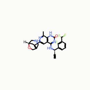 C#C[C@@H](Nc1nc(=O)[nH]c2c(C)nc(C3=C4CNC[C@H](C3)OC4)cc12)c1cccc(C(F)F)c1F